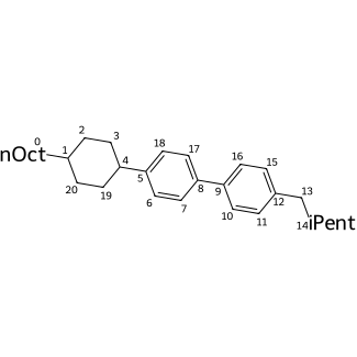 CCCCCCCCC1CCC(c2ccc(-c3ccc(CC(C)CCC)cc3)cc2)CC1